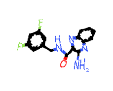 Nc1nc2ccccc2nc1C(=O)NCc1cc(F)cc(F)c1